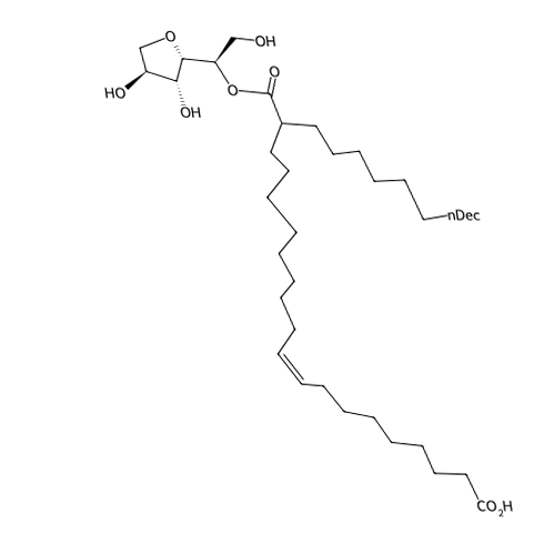 CCCCCCCCCCCCCCCCC(CCCCCCCC/C=C\CCCCCCCC(=O)O)C(=O)O[C@H](CO)[C@H]1OC[C@H](O)[C@H]1O